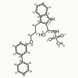 CS(=O)(=O)NC(O)c1[nH]c2ccccc2c1CCCOc1cccc(-c2ccccc2)c1